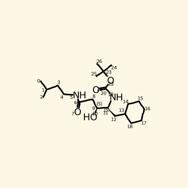 CC(C)CCNC(=O)C[C@H](O)[C@H](CC1CCCCC1)NC(=O)OC(C)(C)C